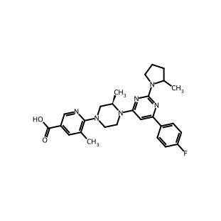 Cc1cc(C(=O)O)cnc1N1CCN(c2cc(-c3ccc(F)cc3)nc(N3CCCC3C)n2)[C@H](C)C1